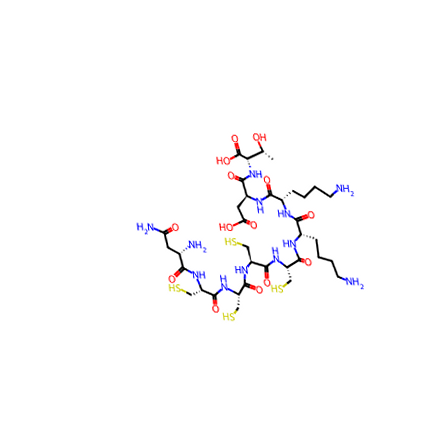 C[C@@H](O)[C@H](NC(=O)[C@H](CC(=O)O)NC(=O)[C@H](CCCCN)NC(=O)[C@H](CCCCN)NC(=O)[C@H](CS)NC(=O)[C@H](CS)NC(=O)[C@H](CS)NC(=O)[C@H](CS)NC(=O)[C@@H](N)CC(N)=O)C(=O)O